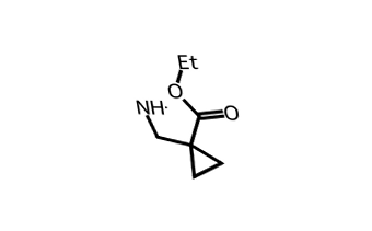 CCOC(=O)C1(C[NH])CC1